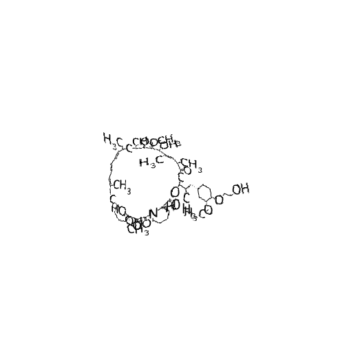 CO[C@@H]1C[C@H](C[C@@H](C)[C@@H]2CC(=O)[C@H](C)/C=C(\C)[C@@H](O)[C@@H](OC)C(=O)[C@H](C)C[C@H](C)/C=C/C=C/C=C(\C)CC[C@@H]3CC[C@@H](C)[C@@](O)(O3)C(=O)C(=O)N3CCCC[C@H]3C(=O)O2)CC[C@H]1OCCO